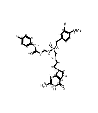 COc1ccc(COP(=O)(COCCn2cnc3c(=O)[nH]c(N)nc32)OCOC(=O)Oc2ccc(C)cc2)cc1F